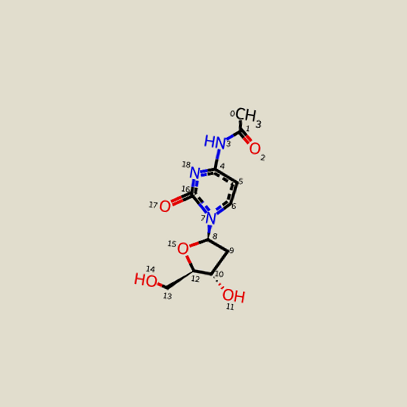 CC(=O)Nc1ccn([C@H]2C[C@H](O)[C@@H](CO)O2)c(=O)n1